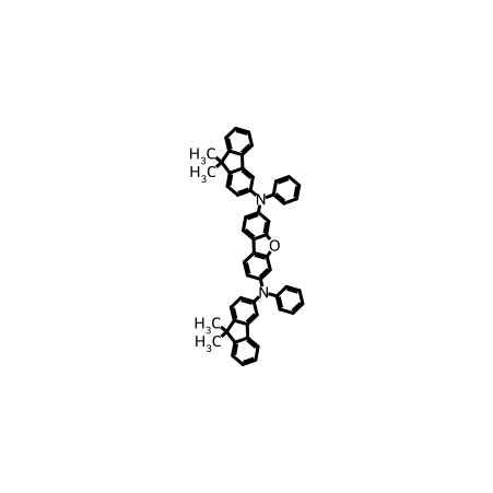 CC1(C)c2ccccc2-c2cc(N(c3ccccc3)c3ccc4c(c3)oc3cc(N(c5ccccc5)c5ccc6c(c5)-c5ccccc5C6(C)C)ccc34)ccc21